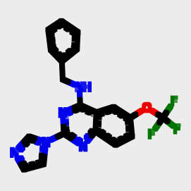 FC(F)(F)Oc1ccc2nc(-n3ccnc3)nc(NCc3ccccc3)c2c1